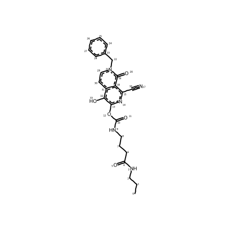 CCCNC(=O)CCCNC(=O)Oc1nc(C#N)c2c(=O)n(Cc3ccccc3)ccc2c1O